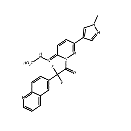 Cn1cc(-c2ccc(=NNC(=O)O)n(C(=O)C(F)(F)c3ccc4ncccc4c3)n2)cn1